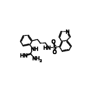 N=C(N)Nc1ccccc1CCCNS(=O)(=O)c1cccc2cnccc12